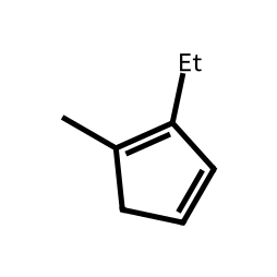 CCC1=C(C)CC=C1